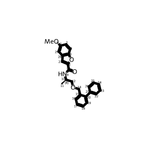 COc1ccc2oc(C(=O)N[C@H](C)COCc3ccccc3-c3ccccc3)cc2c1